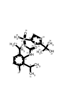 CC(C)c1ccc(F)c(C(C)C)c1NC(=O)N=S(N)(=O)c1cnc(C(C)(C)O)s1